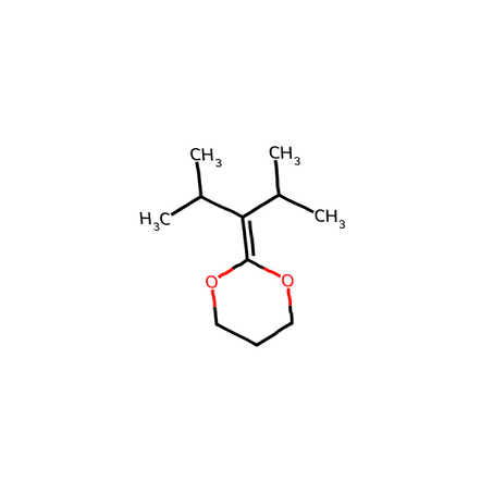 CC(C)C(=C1OCCCO1)C(C)C